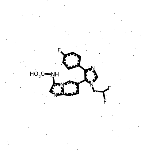 O=C(O)Nc1cnc2ccc(-c3c(-c4ccc(F)cc4)ncn3CC(F)F)cn12